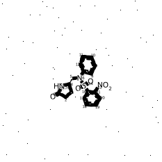 O=C1CC[C@@H](CN(c2ccccc2)S(=O)(=O)c2ccccc2[N+](=O)[O-])N1